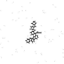 CCCCCN(c1cccc2c1C=c1c-2ccc2c1=Cc1ccccc1-2)c1cccc2c1C=c1c-2ccc2c1=Cc1ccccc1-2